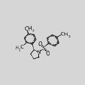 Cc1ccc(S(=O)(=O)N2CCC[C@H]2c2ccc(C)cc2C)cc1